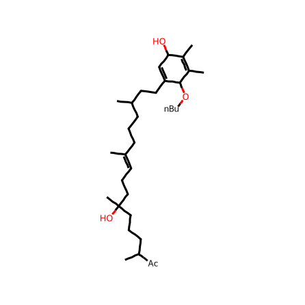 CCCCOC1C(CCC(C)CCC/C(C)=C/CCC(C)(O)CCCC(C)C(C)=O)=CC(O)C(C)=C1C